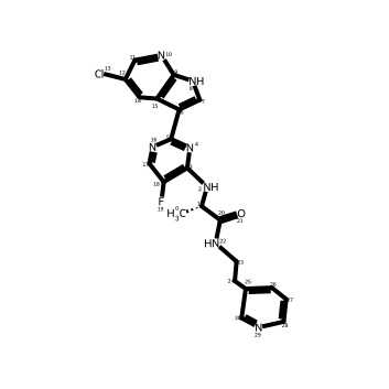 C[C@H](Nc1nc(-c2c[nH]c3ncc(Cl)cc23)ncc1F)C(=O)NCCc1cccnc1